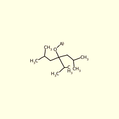 CC(C)CC(CC(C)C)([O][Al])C(C)C